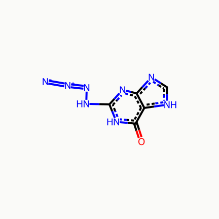 [N-]=[N+]=NNc1nc2nc[nH]c2c(=O)[nH]1